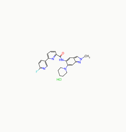 Cl.Cn1cc2cc(NC(=O)c3cccc(-c4ccc(F)nc4)n3)c(N3CCCCC3)cc2n1